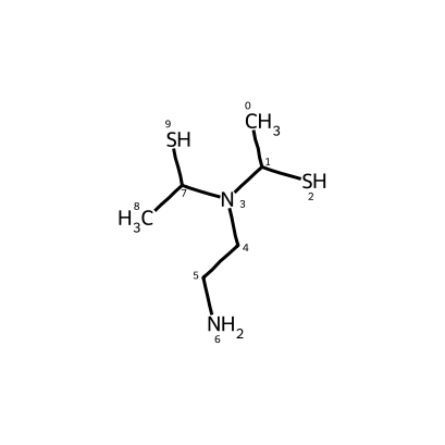 CC(S)N(CCN)C(C)S